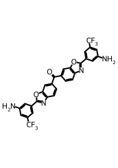 Nc1cc(-c2nc3ccc(C(=O)c4ccc5nc(-c6cc(N)cc(C(F)(F)F)c6)oc5c4)cc3o2)cc(C(F)(F)F)c1